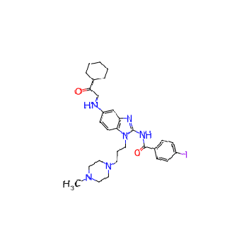 CN1CCN(CCCn2c(NC(=O)c3ccc(I)cc3)nc3cc(NCC(=O)C4CCCCC4)ccc32)CC1